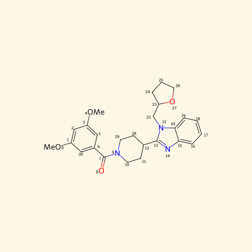 COc1cc(OC)cc(C(=O)N2CCC(c3nc4ccccc4n3CC3CCCO3)CC2)c1